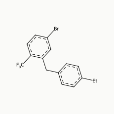 CCc1ccc(Cc2cc(Br)ccc2C(F)(F)F)cc1